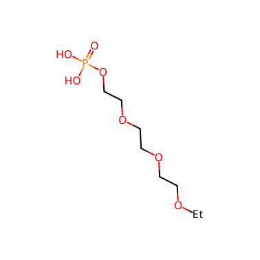 CCOCCOCCOCCOP(=O)(O)O